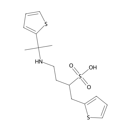 CC(C)(NCCC(Cc1cccs1)S(=O)(=O)O)c1cccs1